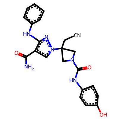 N#CCC1(n2cc(C(N)=O)c(Nc3ccccc3)n2)CN(C(=O)Nc2ccc(O)cc2)C1